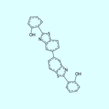 Oc1ccccc1-c1nc2cc(-c3ccc4sc(-c5ccccc5O)nc4c3)ccc2s1